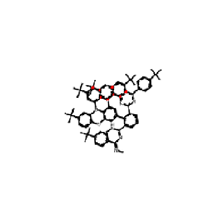 C/N=C(\N=C(/NC)c1cccc(-c2nc(-c3ccc(C(C)(C)C)cc3)nc(-c3ccc(C(C)(C)C)cc3)n2)c1-c1cc2c3c(c1)N(c1ccc(C(C)(C)C)cc1)c1ccc(C(C)(C)C)cc1B3c1cc(C(C)(C)C)ccc1O2)c1ccc(C(C)(C)C)cc1